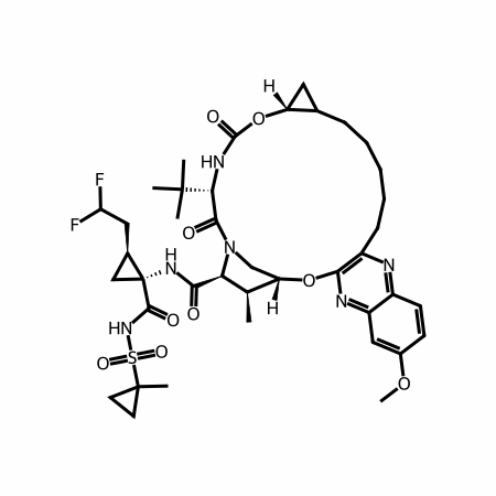 COc1ccc2nc3c(nc2c1)O[C@H]1CN(C(=O)[C@H](C(C)(C)C)NC(=O)O[C@@H]2CC2CCCCC3)[C@H](C(=O)N[C@]2(C(=O)NS(=O)(=O)C3(C)CC3)C[C@H]2CC(F)F)[C@@H]1C